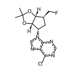 CC1(C)O[C@@H]2[C@@H](CF)C[C@@H](n3cnc4c(Cl)ncnc43)[C@@H]2O1